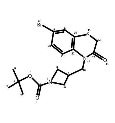 CC(C)(C)OC(=O)N1CC(CN2C(=O)CSc3cc(Br)ccc32)C1